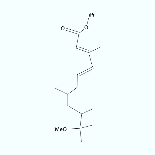 COC(C)(C)C(C)CC(C)CC=CC(C)=CC(=O)OC(C)C